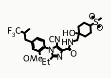 CCc1nc(C(=O)NCC2(O)CCC(S(C)(=O)=O)CC2)c(C#N)n1-c1ccc(CC(C)C(F)(F)F)cc1OC